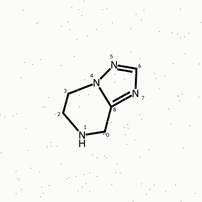 [C]1NCCn2ncnc21